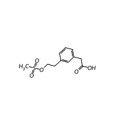 CS(=O)(=O)OCCc1cccc(CC(=O)O)c1